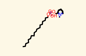 CCCCCCCCCCCCCCCCCCOP(=O)(O)OCc1cccc[n+]1C